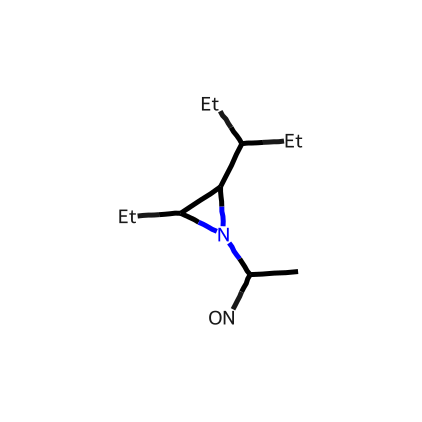 CCC(CC)C1C(CC)N1C(C)N=O